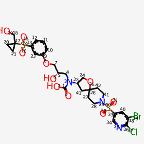 O=C(O)N(C[C@H](O)COc1cccc(S(=O)(=O)C2(CO)CC2)c1)[C@H]1COC2(CCN(S(=O)(=O)c3cnc(Cl)c(Br)c3)CC2)C1